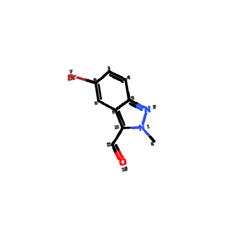 Cn1nc2ccc(Br)cc2c1C=O